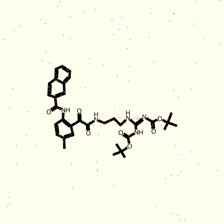 Cc1ccc(NC(=O)c2ccc3ccccc3c2)c(C(=O)C(=O)NCCCN/C(=N/C(=O)OC(C)(C)C)NC(=O)OC(C)(C)C)c1